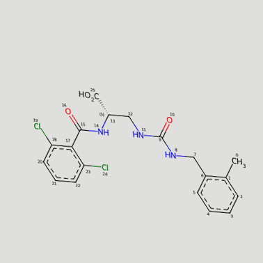 Cc1ccccc1CNC(=O)NC[C@H](NC(=O)c1c(Cl)cccc1Cl)C(=O)O